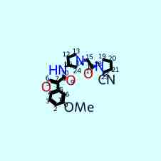 COc1ccc2occ(C(=O)N[C@H]3CCN(CC(=O)N4CCCC4C#N)C3)c2c1